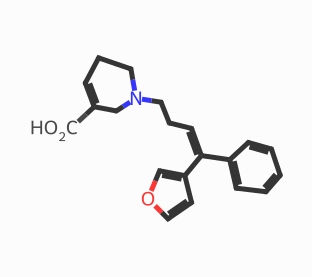 O=C(O)C1=CCCN(CCC=C(c2ccccc2)c2ccoc2)C1